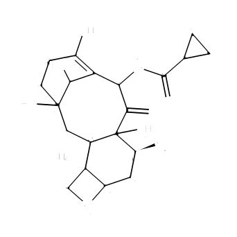 CC1=C2C(OC(=O)C3CC3)C(=O)C3(C)C(CC(O)(CC1)C2C)[C@@H]1COC1C[C@@H]3O